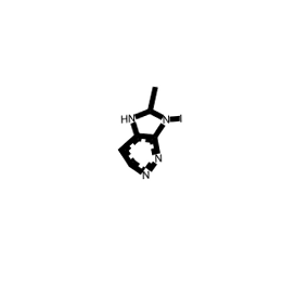 CC1Nc2ccnnc2N1I